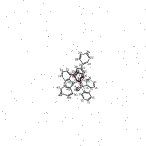 S=P(c1ccccc1)(c1ccccc1)c1ccccc1-c1cc(-c2ccccc2)cc(-c2ccccc2P(=S)(c2ccccc2)c2ccccc2)n1